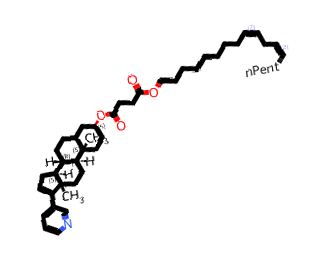 CCCCC/C=C\C/C=C\CCCCCCCCOC(=O)CCC(=O)O[C@H]1CC[C@@]2(C)C(CC[C@@H]3[C@@H]2CC[C@]2(C)C(c4cccnc4)=CC[C@@H]32)C1